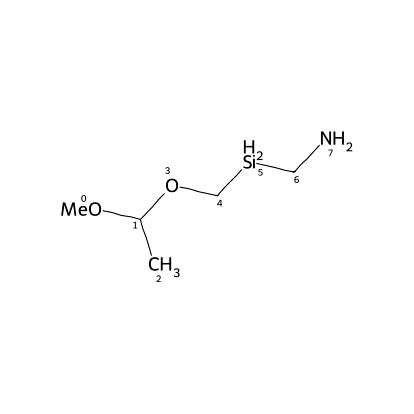 COC(C)OC[SiH2]CN